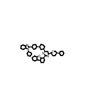 c1ccc(-c2ccc(-c3cc(-c4cccc(-c5ccc(-c6nc7ccccc7n6-c6ccccc6)cc5)c4)nc(-c4cccc5c4oc4ccccc45)n3)cc2)cc1